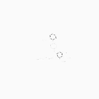 CCOC(=O)CCCCCCOc1c(CN2CCN(c3ccccc3OC)CC2)ccc(OC)c1OC.Cl.Cl